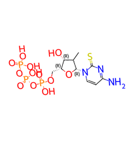 CC1[C@@H](O)[C@@H](COP(=O)(O)OP(=O)(O)OP(=O)(O)O)O[C@H]1n1ccc(N)nc1=S